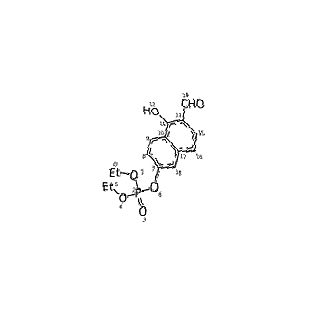 CCOP(=O)(OCC)Oc1ccc2c(O)c(C=O)ccc2c1